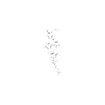 COc1cc(C(C)(C)c2cnc(SCc3c(F)cc(S(=O)(=O)NCCC[N+](C)(C)C)cc3Cl)n2-c2ccc(F)cc2)ccc1Cl